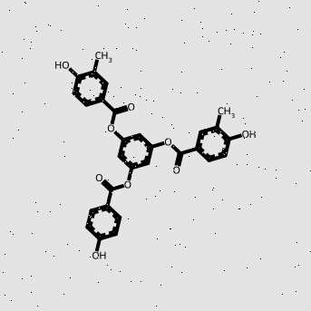 Cc1cc(C(=O)Oc2cc(OC(=O)c3ccc(O)cc3)cc(OC(=O)c3ccc(O)c(C)c3)c2)ccc1O